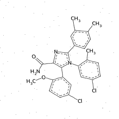 COc1ccc(Cl)cc1-c1c(C(N)=O)nc(-c2ccc(C)c(C)c2)n1-c1cc(Cl)ccc1C